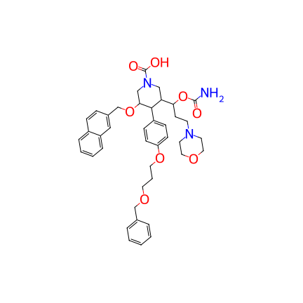 NC(=O)OC(CCN1CCOCC1)C1CN(C(=O)O)CC(OCc2ccc3ccccc3c2)C1c1ccc(OCCCOCc2ccccc2)cc1